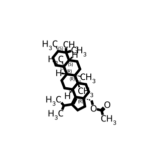 CC(=O)OC[C@]12CCC(C(C)C)=C1[C@H]1CC[C@@H]3[C@@]4(C)CC[C@H](C)C(C)(C)[C@@H]4CC[C@@]3(C)[C@]1(C)CC2